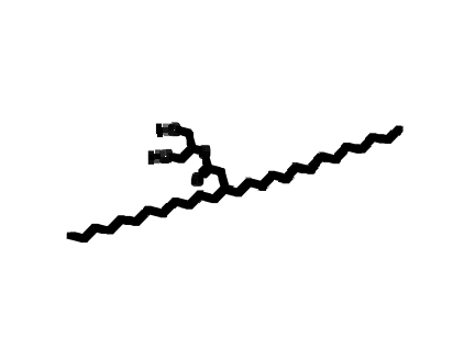 CCCCCCCCCCCCCCC(CCCCCCCCCCCC)CC(=O)OC(CO)CO